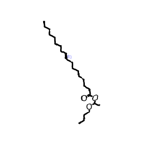 CCCCCCCC/C=C/CCCCCCCC(=O)OC(C)OCCCC